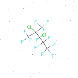 FC(F)(F)C(F)(F)C(F)(Cl)C(Cl)(C(F)(F)F)C(F)(F)F